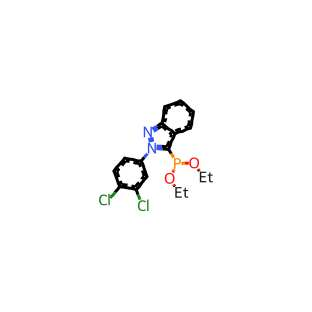 CCOP(OCC)c1c2ccccc2nn1-c1ccc(Cl)c(Cl)c1